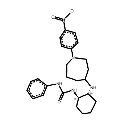 O=C(Nc1ccccc1)N[C@@H]1CCCC[C@H]1NC1CCCN(c2ccc([N+](=O)[O-])cc2)CC1